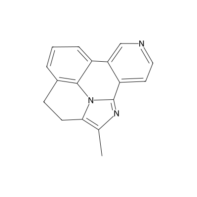 Cc1nc2c3ccncc3c3cccc4c3n2c1CC4